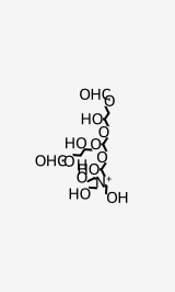 O=COCCC(O)COCC(COCC(O)C[N+](CCO)(CCO)CCO)OCC(O)CCOC=O